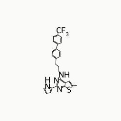 Cc1cc2c(NCCCc3ccc(-c4ccc(C(F)(F)F)cc4)cc3)nc(-c3ccc[nH]3)nc2s1